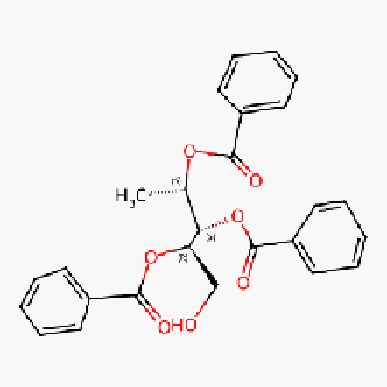 C[C@H](OC(=O)c1ccccc1)[C@H](OC(=O)c1ccccc1)[C@@H](CO)OC(=O)c1ccccc1